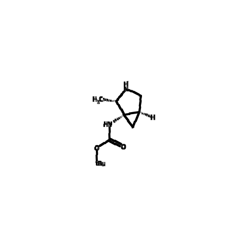 C[C@@H]1NC[C@H]2C[C@]21NC(=O)OC(C)(C)C